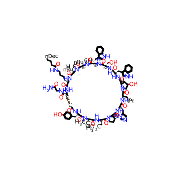 CCCCCCCCCCCCCC(=O)NCCCC[C@@H]1NC(=O)[C@H](CCCC)N(C)C(=O)[C@H](CCCC)N(C)C(=O)[C@H](Cc2c[nH]c3ccccc23)NC(=O)[C@H](CO)NC(=O)[C@H](Cc2c[nH]c3ccccc23)NC(=O)[C@@H]2C[C@@H](O)CN2C(=O)C(CC(C)C)NC(=O)[C@H](Cc2cnc[nH]2)NC(=O)[C@@H]2CCCN2C(=O)[C@H](CC(=O)O)NC(=O)[C@H](C)N(C)C(=O)[C@H](Cc2ccc(O)cc2)NC(=O)CSC[C@@H](C(=O)NCC(N)=O)NC1=O